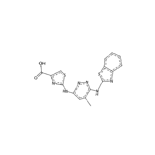 Cc1cc(Nc2nc(C(=O)O)cs2)nnc1Nc1nc2ccccc2s1